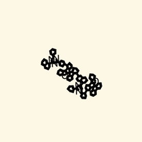 c1ccc(-c2nc(-c3ccccc3-c3ccc4c(c3)C3(c5ccccc5-c5ccccc53)c3oc5ccccc5c3-4)cc(-c3cccc4cc(-c5cccc6c5-c5ccccc5C65c6cccc(-c7ccc(-c8nc(-c9ccccc9)nc(-c9cccc%10ccccc9%10)n8)cc7)c6-c6c5oc5ccccc65)ccc34)n2)cc1